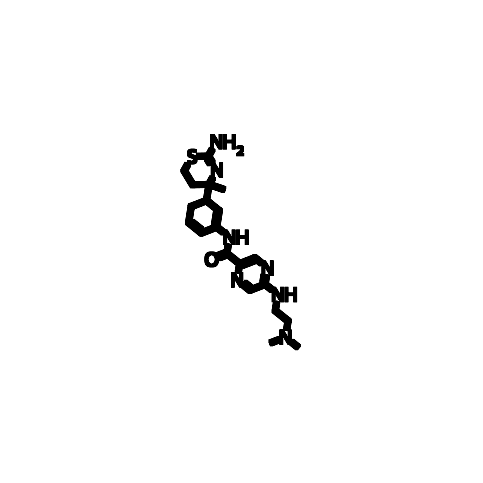 CN(C)CCNc1cnc(C(=O)NC2=CC(C3(C)CCSC(N)=N3)CC=C2)cn1